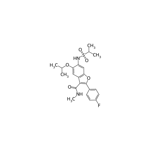 CNC(=O)c1c(-c2ccc(F)cc2)oc2cc(NS(=O)(=O)C(C)C)c(OC(C)C)cc12